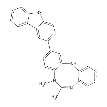 Cc1nc2ccccc2[nH]c2cc(-c3ccc4oc5ccccc5c4c3)ccc2n1C